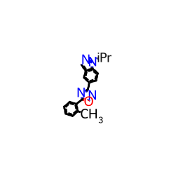 Cc1ccccc1-c1nc(-c2ccc3c(cnn3C(C)C)c2)no1